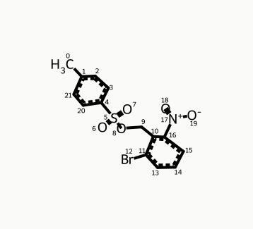 Cc1ccc(S(=O)(=O)OCc2c(Br)cccc2[N+](=O)[O-])cc1